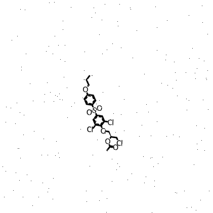 [CH2][CH]COc1ccc(S(=O)(=O)c2cc(Cl)c(OC[C@@H](CCl)OC(C)=O)c(Cl)c2)cc1